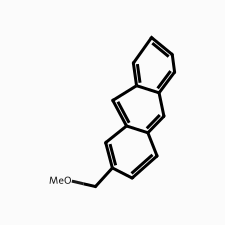 COCc1ccc2cc3ccccc3cc2c1